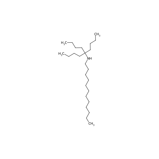 CCCCCCCCCCCCNC(CCCC)(CCCC)CCCC